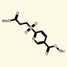 COC(=O)CCS(=O)(=O)c1ccc(C(=O)OC(C)(C)C)cn1